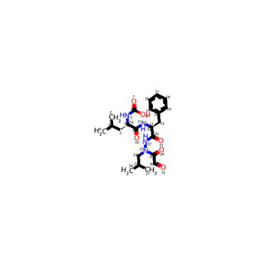 CC(C)C[C@H](NC(=O)O)C(=O)N[C@@H](Cc1ccccc1)C(=O)NN(CC(C)C)C(=O)C=O